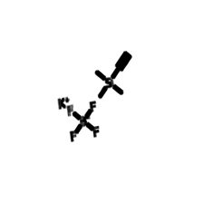 C#C[Si](C)(C)C.F[B-](F)(F)F.[K+]